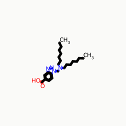 CCCCCCCCN(CCCCCCCC)Cn1nnc2cc(C(=O)O)ccc21